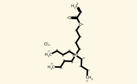 C=CC(=O)OCCCC[P+](CCCC)(CCCC)CCCC.[Cl-]